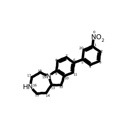 O=[N+]([O-])c1cccc(-c2ccc3c(c2)CC2CCNCCN32)c1